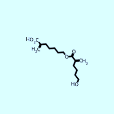 C=C(CCCCCOC(=O)C(=C)CCCCO)C(=O)O